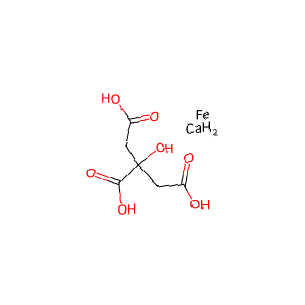 O=C(O)CC(O)(CC(=O)O)C(=O)O.[CaH2].[Fe]